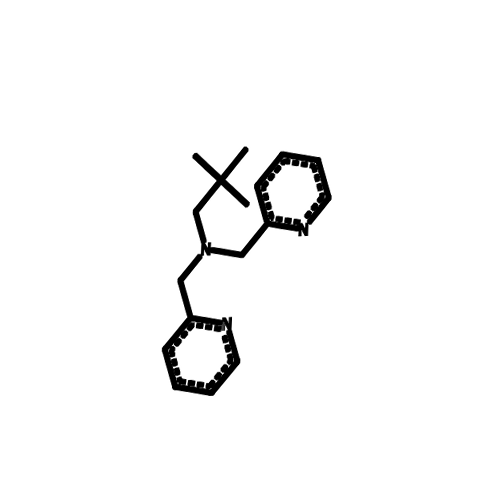 CC(C)(C)CN(Cc1ccccn1)Cc1ccccn1